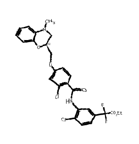 CCOC(=O)C(F)(F)c1ccc(Cl)c(NC(=O)c2ccc(OC[C@@H]3CN(C)c4ccccc4O3)cc2Cl)c1